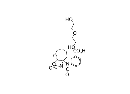 O=C(O)c1ccccc1.O=C=NC1(N=C=O)CCCCOC1=O.OCCOCCO